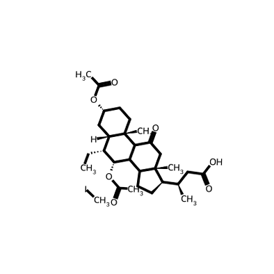 CC[C@H]1[C@@H](OC(C)=O)C2C3CC[C@H]([C@H](C)CC(=O)O)[C@@]3(C)CC(=O)C2[C@@]2(C)CC[C@@H](OC(C)=O)C[C@@H]12.CI